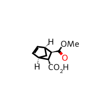 COC(=O)[C@H]1[C@@H](C(=O)O)[C@H]2C=C[C@@H]1C2